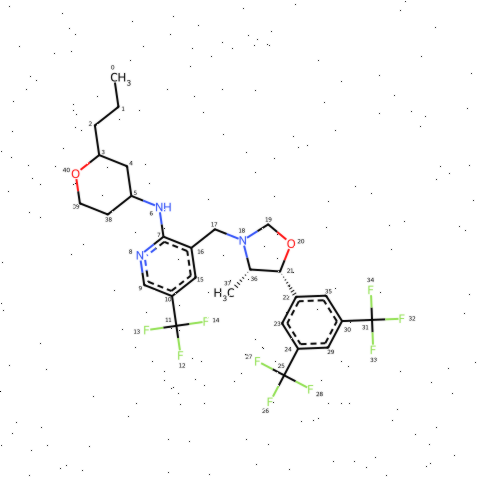 CCCC1CC(Nc2ncc(C(F)(F)F)cc2CN2CO[C@H](c3cc(C(F)(F)F)cc(C(F)(F)F)c3)[C@@H]2C)CCO1